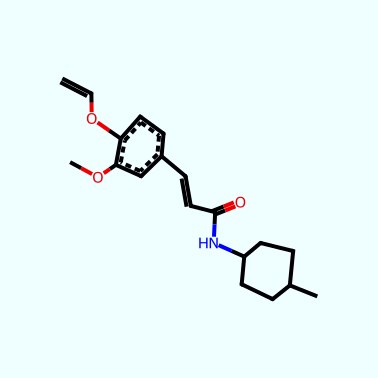 C=COc1ccc(C=CC(=O)NC2CCC(C)CC2)cc1OC